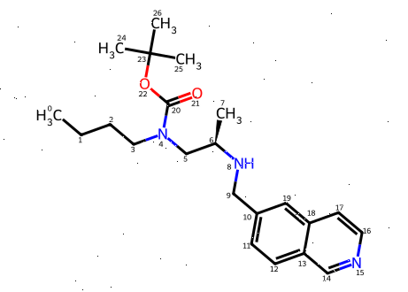 CCCCN(C[C@@H](C)NCc1ccc2cnccc2c1)C(=O)OC(C)(C)C